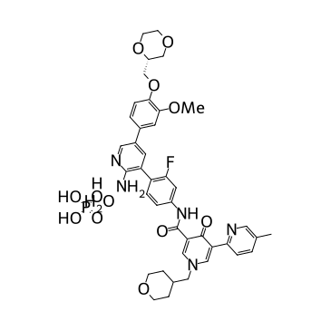 COc1cc(-c2cnc(N)c(-c3ccc(NC(=O)c4cn(CC5CCOCC5)cc(-c5ccc(C)cn5)c4=O)cc3F)c2)ccc1OC[C@H]1COCCO1.O.O=P(O)(O)O